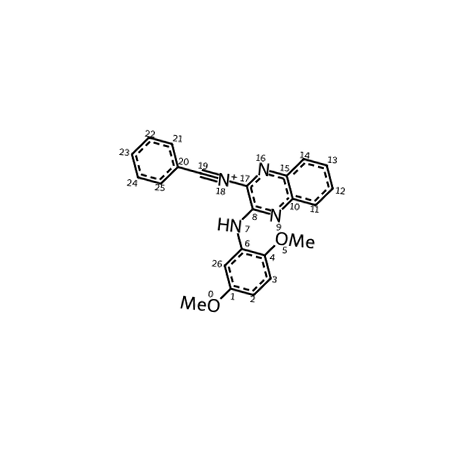 COc1ccc(OC)c(Nc2nc3ccccc3nc2[N+]#Cc2ccccc2)c1